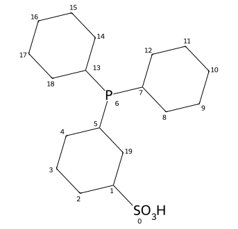 O=S(=O)(O)C1CCCC(P(C2CCCCC2)C2CCCCC2)C1